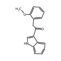 COc1ccccc1CC(=O)c1c[nH]c2ccccc12